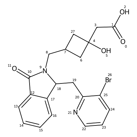 O=C(O)CC1(O)CC(CN2C(=O)c3ccccc3C2Cc2ncccc2Br)C1